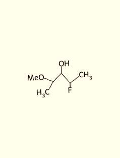 COC(C)C(O)C(C)F